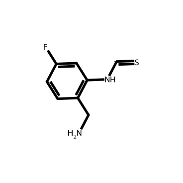 NCc1ccc(F)cc1N[C]=S